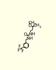 C=C(CCNC(=O)NCc1cccc(C(F)(F)F)c1)OC